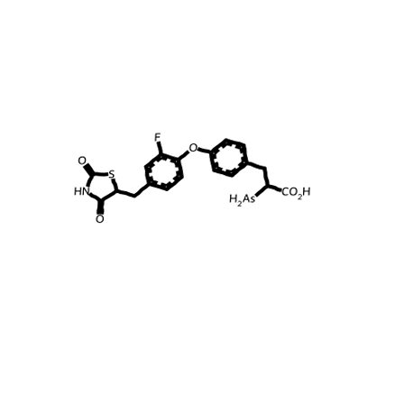 O=C1NC(=O)C(Cc2ccc(Oc3ccc(CC([AsH2])C(=O)O)cc3)c(F)c2)S1